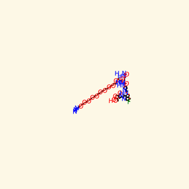 CC[C@@]1(O)C(=O)OCc2c1cc1n(c2=O)Cc2c-1nc1cc(F)c(C)c3c1c2[C@@H](NCc1ccc(NC(=O)[C@H](CCCNC(N)=O)NC(=O)[C@@H](NC(=O)CCOCCOCCOCCOCCOCCOCCOCCOCCOCCN=[N+]=[N-])C(C)C)cn1)CC3